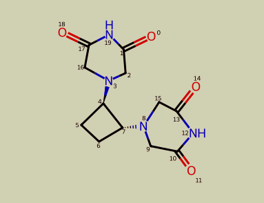 O=C1CN([C@@H]2CC[C@H]2N2CC(=O)NC(=O)C2)CC(=O)N1